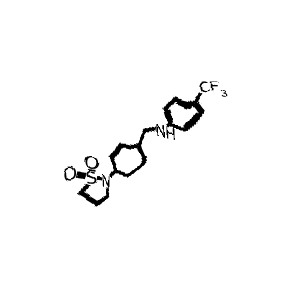 O=S1(=O)CCCN1C1CCC(CNc2ccc(C(F)(F)F)cc2)CC1